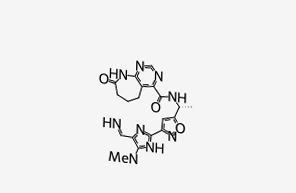 CNc1[nH]c(-c2cc([C@@H](C)NC(=O)c3ncnc4c3CCCC(=O)N4)on2)nc1C=N